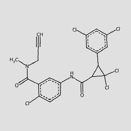 C#CCN(C)C(=O)c1cc(NC(=O)C2C(c3cc(Cl)cc(Cl)c3)C2(Cl)Cl)ccc1Cl